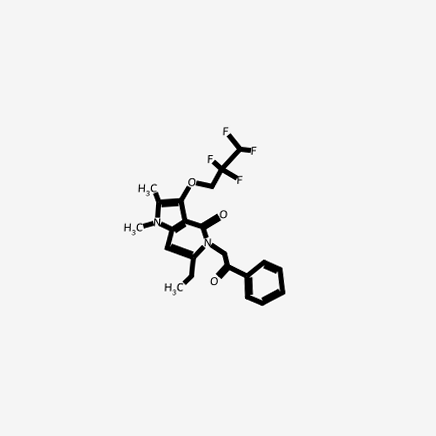 CCc1cc2c(c(OCC(F)(F)C(F)F)c(C)n2C)c(=O)n1CC(=O)c1ccccc1